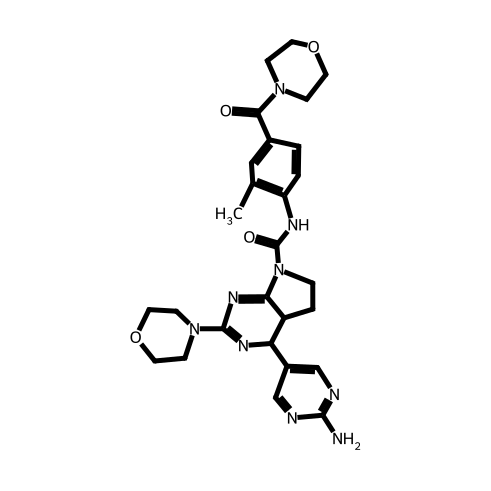 Cc1cc(C(=O)N2CCOCC2)ccc1NC(=O)N1CCC2C1=NC(N1CCOCC1)=NC2c1cnc(N)nc1